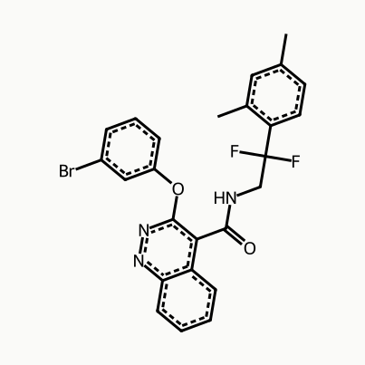 Cc1ccc(C(F)(F)CNC(=O)c2c(Oc3cccc(Br)c3)nnc3ccccc23)c(C)c1